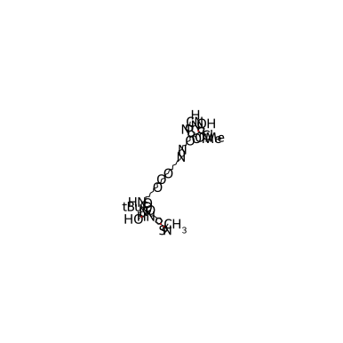 COc1cc(Nc2c(C#N)cnc3cc(OCCCN4CCN(CCCCCCOCCOCCOCCCCCC(=O)N[C@H](C(=O)N5C[C@H](O)C[C@H]5C(=O)NCc5ccc(-c6scnc6C)cc5)C(C)(C)C)CC4)c(OC)cc23)c(O)cc1Cl